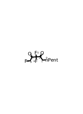 CCCCCCC(=O)C(F)(F)C(=O)CF